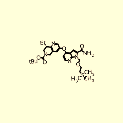 CC[C@H]1CN(C(=O)OC(C)(C)C)Cc2cc(Oc3ccnc4c3cc(C(N)=O)n4COCCS(C)(C)C)cnc21